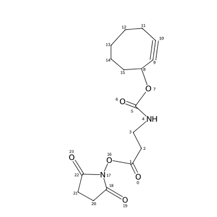 O=C(CCNC(=O)OC1C#CCCCCC1)ON1C(=O)CCC1=O